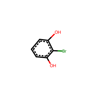 Oc1cccc(O)c1Br